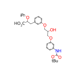 CC(C)OC(Cc1cccc(OCC(O)COc2cccc(NC(=O)OC(C)(C)C)c2)c1)C(=O)O